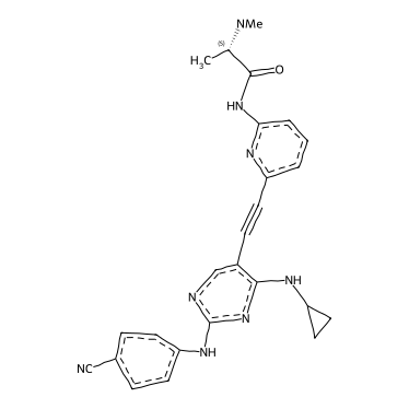 CN[C@@H](C)C(=O)Nc1cccc(C#Cc2cnc(Nc3ccc(C#N)cc3)nc2NC2CC2)n1